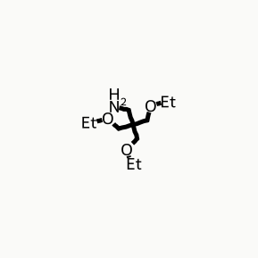 CCOCC(CN)(COCC)COCC